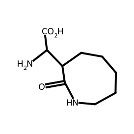 NC(C(=O)O)C1CCCCCNC1=O